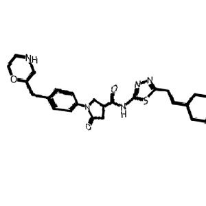 O=C(Nc1nnc(CCC2CCOCC2)s1)C1CC(=O)N(c2ccc(CC3CNCCO3)cc2)C1